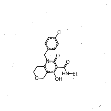 CCNC(=O)c1c(O)c2c(n(Cc3ccc(Cl)cc3)c1=O)CCOC2